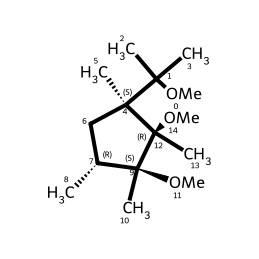 COC(C)(C)[C@]1(C)C[C@@H](C)[C@](C)(OC)[C@]1(C)OC